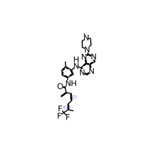 C=C(/C=C\C=C(/C)C(F)(F)F)C(=O)Nc1ccc(C)c(Nc2ncnc3cnc(N4CCN(C)CC4)nc23)c1